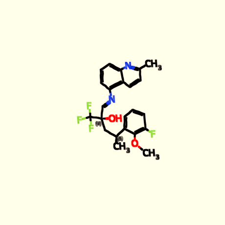 COc1c(F)cccc1[C@@H](C)C[C@@](O)(C=Nc1cccc2nc(C)ccc12)C(F)(F)F